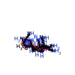 CC(NC(=O)[C@H](CCN)NC(=O)C(N)CCCCN)C(=O)NCC(=O)N[C@H](CCCN)C(=O)N1CCC[C@H]1C(=O)NC(Cc1cnc[nH]1)C(=O)N[C@@H](CCCCN)C(=O)N/C(=C\CCNC(=N)N)C(=O)N[C@@H](CCCCN)C(=O)NCCCCN